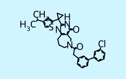 CC(C)c1csc(C2(c3nc4c(c(=O)[nH]3)CN(C(=O)Cc3cccc(-c5cccc(Cl)c5)c3)CCC4)CC2)c1